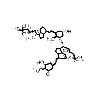 C=C1/C(=C\C=C2/CCC[C@@]3(C)C2CCC3[C@@H](C)CCCC(C)(C)O)C[C@@H](O)C[C@@H]1OC[C@H](CCCC(C)(C)O)C1CCC2/C(=C/C=C3C[C@@H](O)C(C)[C@H](O)C3)CCC[C@@]21C